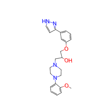 COc1ccccc1N1CCN(CC(O)COc2cccc(-c3cc[nH]n3)c2)CC1